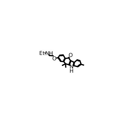 CCNCCOc1ccc2c(c1)C(C)(C)c1[nH]c3cc(C)ccc3c1C2=O